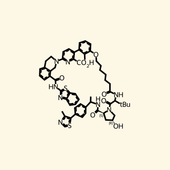 Cc1ncsc1-c1ccc(C(C)NC(=O)[C@@H]2C[C@@H](O)CN2C(=O)C(NC(=O)CCCCCCOc2cccc(-c3ccc(N4CCc5cccc(C(=O)Nc6nc7ccccc7s6)c5C4)nc3C(=O)O)c2C)C(C)(C)C)cc1